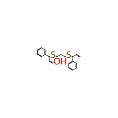 C=CC(SCCC(O)SC(C=C)c1ccccc1)c1ccccc1